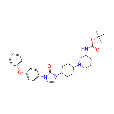 CC(C)(C)OC(=O)N[C@@H]1CCCN(C2CCC(n3ccn(-c4ccc(Oc5ccccc5)cc4)c3=O)CC2)C1